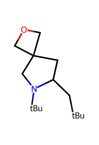 CC(C)(C)CC1CC2(COC2)CN1C(C)(C)C